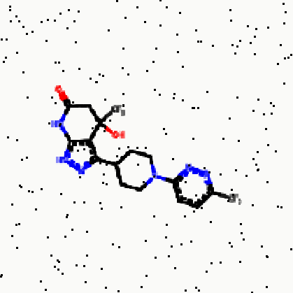 O=C1CC(O)(C(F)(F)F)c2c(C3CCN(c4ccc(C(F)(F)F)nn4)CC3)n[nH]c2N1